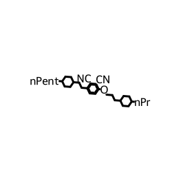 CCCCCC1CCC(CCc2ccc(OCCCC3CCC(CCC)CC3)c(C#N)c2C#N)CC1